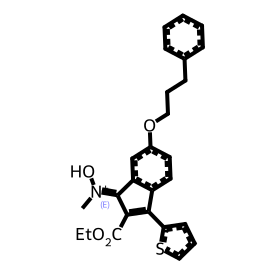 CCOC(=O)C1=C(c2cccs2)c2ccc(OCCCc3ccccc3)cc2/C1=[N+](/C)O